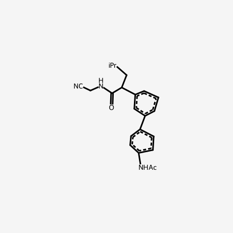 CC(=O)Nc1ccc(-c2cccc(C(CC(C)C)C(=O)NCC#N)c2)cc1